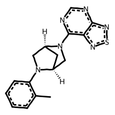 Cc1ccccc1N1C[C@@H]2C[C@H]1CN2c1ncnc2nsnc12